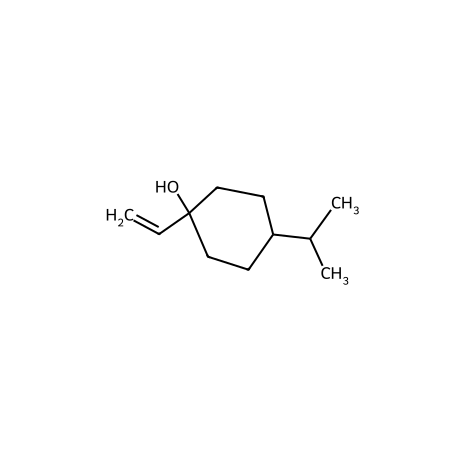 C=CC1(O)CCC(C(C)C)CC1